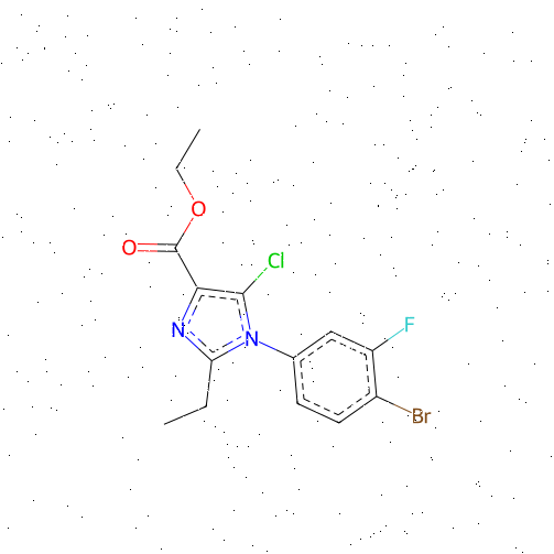 CCOC(=O)c1nc(CC)n(-c2ccc(Br)c(F)c2)c1Cl